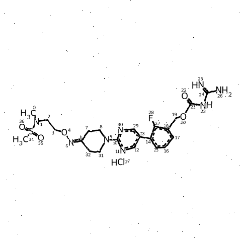 CN(CCON=C1CCN(c2ncc(-c3cccc(COC(=O)NC(=N)N)c3F)cn2)CC1)S(C)(=O)=O.Cl